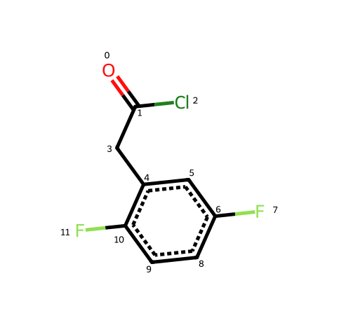 O=C(Cl)Cc1cc(F)ccc1F